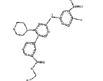 CCOC(=O)c1cncc(-c2cnc(Nc3ccc(F)c([N+](=O)[O-])c3)nc2N2CCOCC2)c1